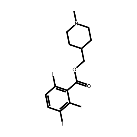 CN1CCC(COC(=O)c2c(I)ccc(I)c2I)CC1